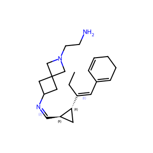 CC/C(=C\C1=CCCC=C1)[C@@H]1C[C@H]1/C=N\C1CC2(C1)CN(CCN)C2